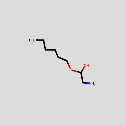 CCCCCCOC(O)CN